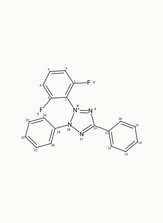 Fc1cccc(F)c1-[n+]1nc(-c2ccccc2)nn1-c1ccccc1